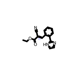 CCOC(=O)/C(C#N)=C/c1ccccc1-c1ncc[nH]1